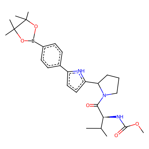 COC(=O)N[C@H](C(=O)N1CCCC1c1ccc(-c2ccc(B3OC(C)(C)C(C)(C)O3)cc2)[nH]1)C(C)C